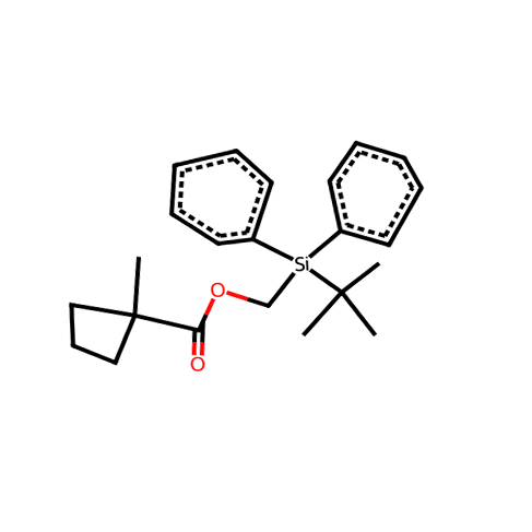 CC1(C(=O)OC[Si](c2ccccc2)(c2ccccc2)C(C)(C)C)CCC1